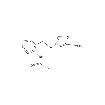 CC(=O)Nc1ccccc1CCn1cnc(C)c1